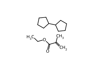 C1CCC(C2CCCC2)C1.C=C(C)C(=O)OCC